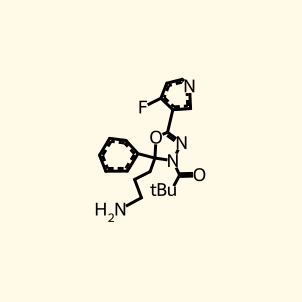 CC(C)(C)C(=O)N1N=C(c2cnccc2F)OC1(CCCN)c1ccccc1